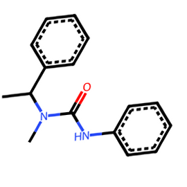 CC(c1ccccc1)N(C)C(=O)Nc1ccccc1